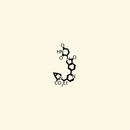 CCOC(=O)C1C2CC2CN1Cc1ccnc(-c2ccc3c(c2)CN(C2CCC(=O)NC2=O)C3=O)c1